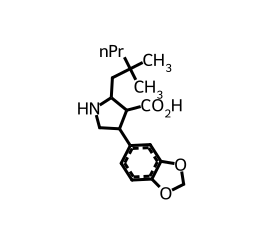 CCCC(C)(C)CC1NCC(c2ccc3c(c2)OCO3)C1C(=O)O